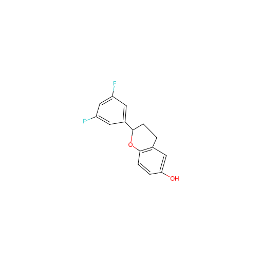 Oc1ccc2c(c1)CCC(c1cc(F)cc(F)c1)O2